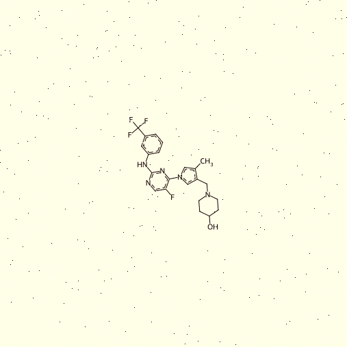 Cc1cn(-c2nc(Nc3cccc(C(F)(F)F)c3)ncc2F)cc1CN1CCC(O)CC1